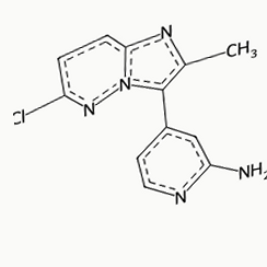 Cc1nc2ccc(Cl)nn2c1-c1ccnc(N)c1